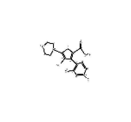 CNC(=O)c1sc(N2CCOCC2)c(C#N)c1-c1ccc(Cl)cc1Cl